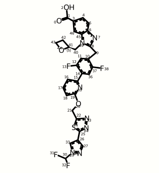 O=C(O)c1ccc2nc(Cc3cc(F)c(-c4cccc(OCc5nnc(-c6cnn(C(F)F)c6)s5)n4)cc3F)n(C[C@@H]3CCO3)c2c1